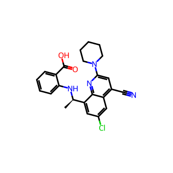 C[C@@H](Nc1ccccc1C(=O)O)c1cc(Cl)cc2c(C#N)cc(N3CCCCC3)nc12